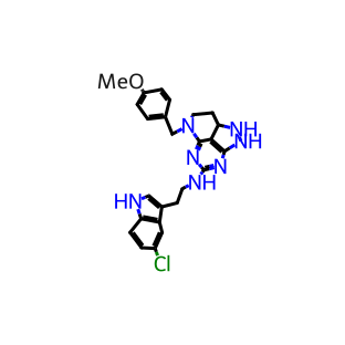 COc1ccc(CN2CCC3NNc4nc(NCCc5c[nH]c6ccc(Cl)cc56)nc2c43)cc1